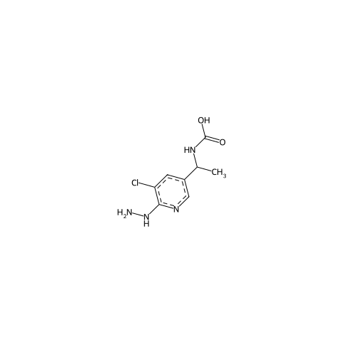 CC(NC(=O)O)c1cnc(NN)c(Cl)c1